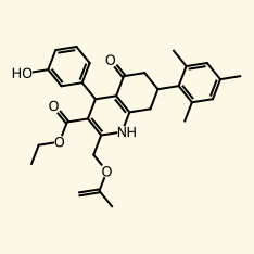 C=C(C)OCC1=C(C(=O)OCC)C(c2cccc(O)c2)C2=C(CC(c3c(C)cc(C)cc3C)CC2=O)N1